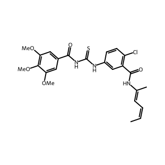 C/C=C\C=C(/C)NC(=O)c1cc(NC(=S)NC(=O)c2cc(OC)c(OC)c(OC)c2)ccc1Cl